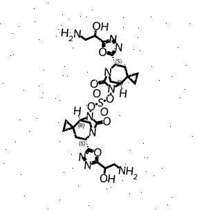 NCC(O)c1nnc([C@@H]2CC3(CC3)[C@@H]3CN2C(=O)N3OS(=O)(=O)ON2C(=O)N3C[C@H]2C2(CC2)C[C@H]3c2nnc(C(O)CN)o2)o1